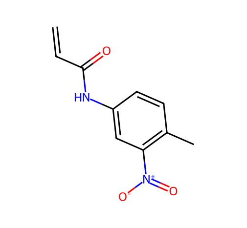 C=CC(=O)Nc1ccc(C)c([N+](=O)[O-])c1